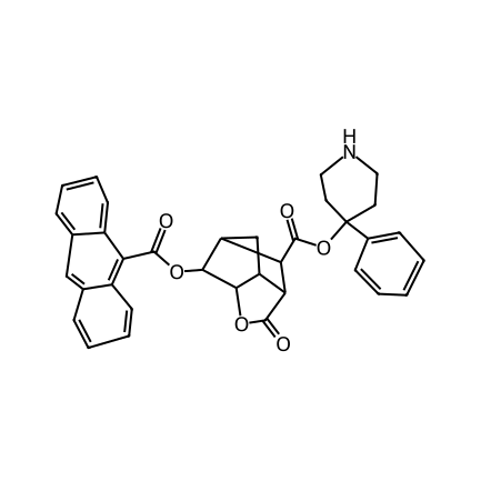 O=C(OC1C2CC3C1OC(=O)C3C2C(=O)OC1(c2ccccc2)CCNCC1)c1c2ccccc2cc2ccccc12